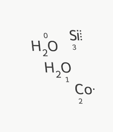 O.O.[Co].[Si]